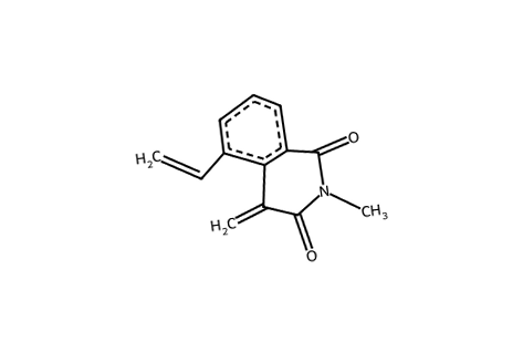 C=Cc1cccc2c1C(=C)C(=O)N(C)C2=O